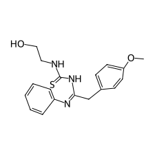 COc1ccc(C/C(=N/c2ccccc2)NC(=S)NCCO)cc1